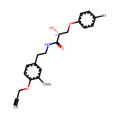 C#CCOc1ccc(CCNC(=O)[C@H](O)COc2ccc(CC)cc2)cc1OC